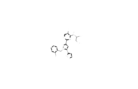 CCCC(CO)Nc1nc(-c2cc(-c3ccon3)n(Cc3ccccc3F)n2)ncc1F